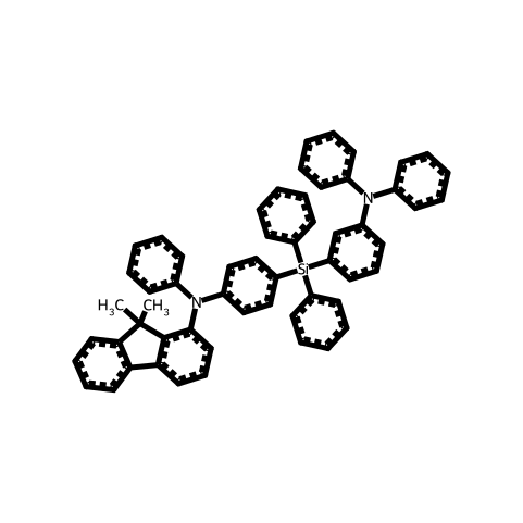 CC1(C)c2ccccc2-c2cccc(N(c3ccccc3)c3ccc([Si](c4ccccc4)(c4ccccc4)c4cccc(N(c5ccccc5)c5ccccc5)c4)cc3)c21